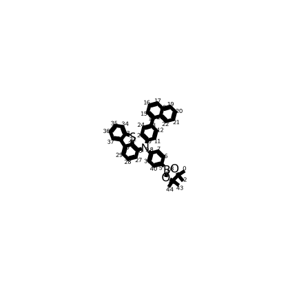 CC1(C)OB(c2ccc(N(c3ccc(-c4cccc5ccccc45)cc3)c3cccc4c3sc3ccccc34)cc2)OC1(C)C